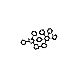 c1ccc(-c2nc(-c3ccccc3)nc(-c3cccc(-c4cccc(-c5cc(-c6ccccn6)c(-c6ccccc6)c(-c6ccccc6)c5-c5ccccc5)c4)c3)n2)cc1